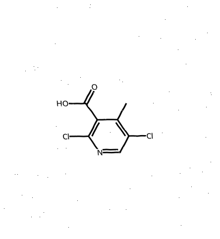 Cc1c(Cl)cnc(Cl)c1C(=O)O